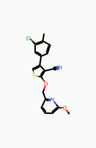 COc1cccc(COc2scc(-c3ccc(C)c(Cl)c3)c2C#N)n1